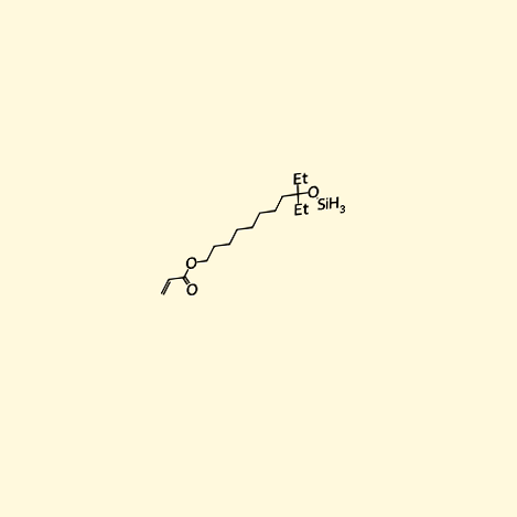 C=CC(=O)OCCCCCCCCC(CC)(CC)O[SiH3]